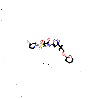 CC(C)(COC1CCCCO1)c1cc(NC(=O)C(C)(C)S(=O)(=O)N2CCC(F)C2)on1